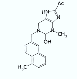 CC(=O)c1nc2c([nH]1)CN(Cc1ccc3c(C)cccc3c1)C(O)N2C